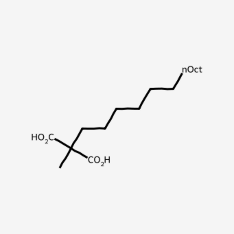 CCCCCCCCCCCCCCC(C)(C(=O)O)C(=O)O